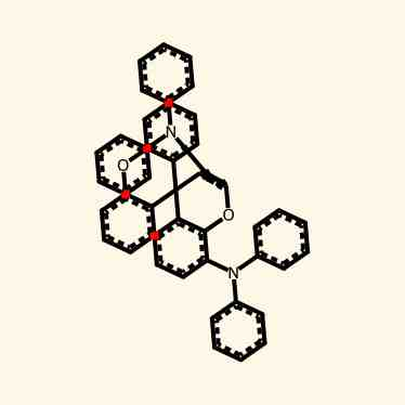 c1ccc(N(c2ccccc2)c2cccc3c2Oc2cccc(N(c4ccccc4)c4ccccc4)c2C32c3ccccc3Oc3ccccc32)cc1